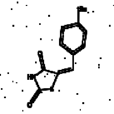 CC(C)(C)c1ccc(C=C2SC(=O)NC2=O)cc1